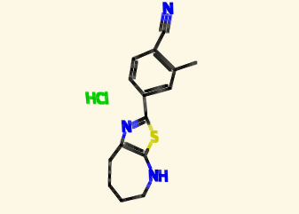 Cc1cc(-c2nc3c(s2)NCCCC3)ccc1C#N.Cl